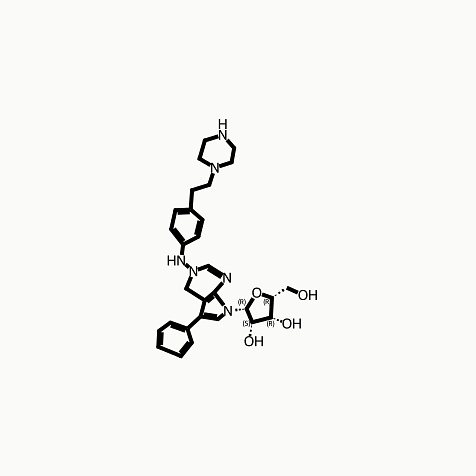 OC[C@H]1O[C@@H](n2cc(-c3ccccc3)c3c2N=CN(Nc2ccc(CCN4CCNCC4)cc2)C3)[C@@H](O)[C@H]1O